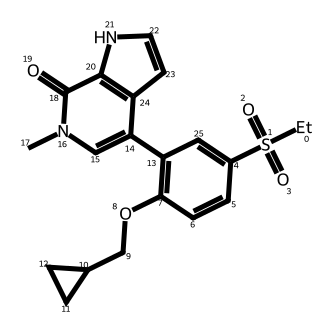 CCS(=O)(=O)c1ccc(OCC2CC2)c(-c2cn(C)c(=O)c3[nH]ccc23)c1